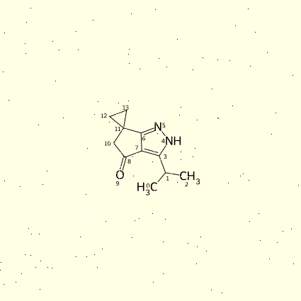 CC(C)c1[nH]nc2c1C(=O)CC21CC1